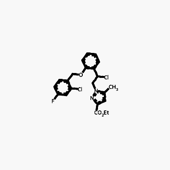 CCOC(=O)c1cc(C)n(CC(Cl)c2ccccc2OCc2ccc(F)cc2Cl)n1